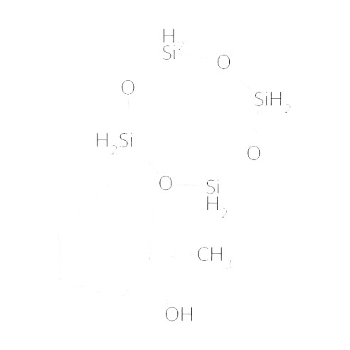 CC1(O)CCCCC1.O1[SiH2]O[SiH2]O[SiH2]O[SiH2]1